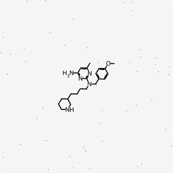 COc1ccc(CN(CCCCC2CCCNC2)c2nc(C)cc(N)n2)cc1